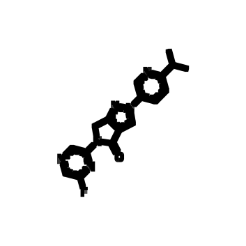 CC(C)c1ccc(-n2cc3c(n2)CN(c2cncc(F)n2)C3=O)cn1